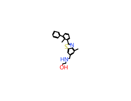 Cc1c(-c2ccccc2)cccc1-c1nc2c(C)cc(CNCCO)cc2s1